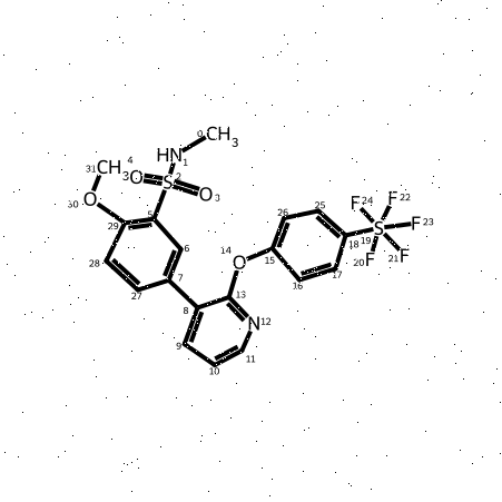 CNS(=O)(=O)c1cc(-c2cccnc2Oc2ccc(S(F)(F)(F)(F)F)cc2)ccc1OC